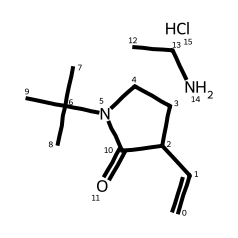 C=CC1CCN(C(C)(C)C)C1=O.CCN.Cl